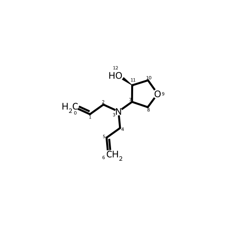 C=CCN(CC=C)C1COC[C@@H]1O